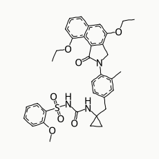 CCOc1cc2cccc(OCC)c2c2c1CN(c1ccc(CC3(NC(=O)NS(=O)(=O)c4ccccc4OC)CC3)cc1C)C2=O